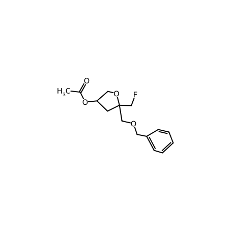 CC(=O)OC1COC(CF)(COCc2ccccc2)C1